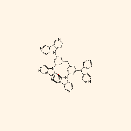 c1cc2c(cn1)c1cnccc1n2-c1cc(Cc2cc(-n3c4ccncc4c4cnccc43)cc(-n3c4ccncc4c4cnccc43)c2)cc(-n2c3ccncc3c3cnccc32)c1